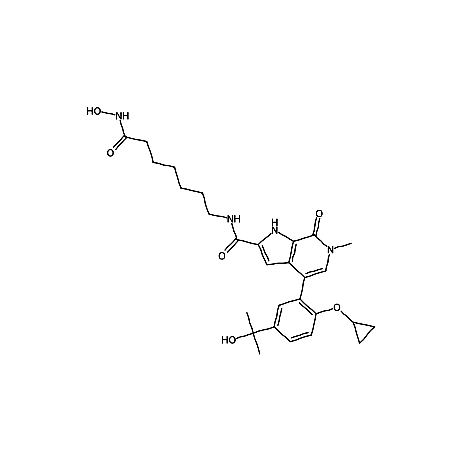 Cn1cc(-c2cc(C(C)(C)O)ccc2OC2CC2)c2cc(C(=O)NCCCCCCC(=O)NO)[nH]c2c1=O